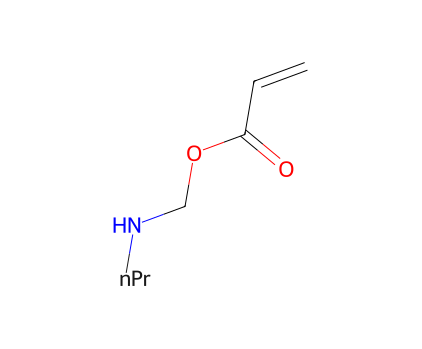 C=CC(=O)OCNCCC